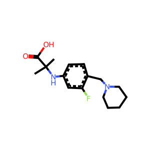 CC(C)(Nc1ccc(CN2CCCCC2)c(F)c1)C(=O)O